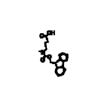 CN(CCCC(=O)O)C(=O)OCC1c2ccccc2-c2ccccc21